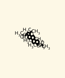 CC(=O)OC[C@]12CCC3(C(C)C)OC31C1CCC3[C@@]4(C)CC[C@H](OC(C)=O)C(C)(C)C4CC[C@@]3(C)[C@]1(C)CC2